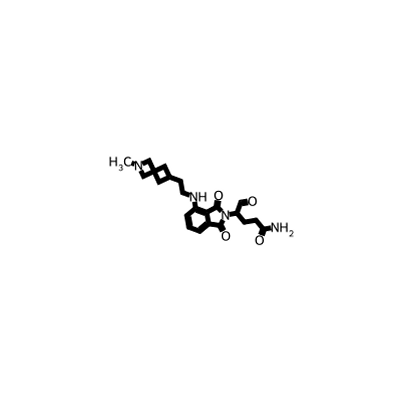 CN1CC2(CC(CCNc3cccc4c3C(=O)N(C(C=O)CCC(N)=O)C4=O)C2)C1